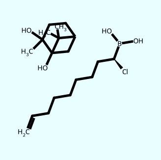 C=CCCCCCC[C@H](Cl)B(O)O.CC1(O)CCC2CC1(O)C2(C)C